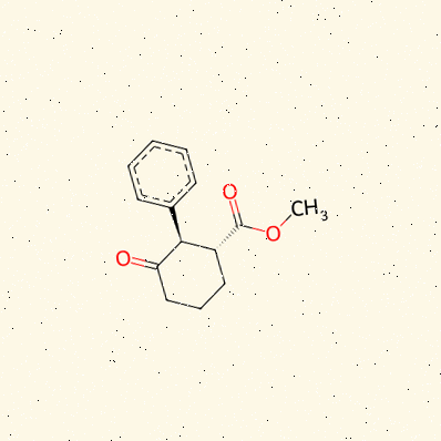 COC(=O)[C@@H]1CCCC(=O)[C@H]1c1ccccc1